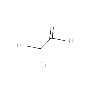 CC[C@H](O)C(=O)S